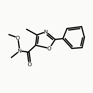 CON(C)C(=O)c1oc(-c2ccccc2)nc1C